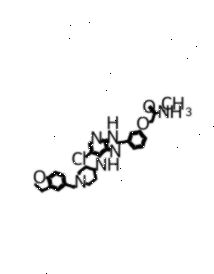 CNC(=O)COc1cccc(-c2nc3c(NC4CCN(Cc5ccc6c(c5)CCO6)CC4)c(Cl)cnc3[nH]2)c1